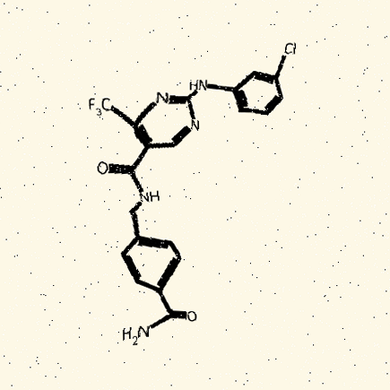 NC(=O)c1ccc(CNC(=O)c2cnc(Nc3cccc(Cl)c3)nc2C(F)(F)F)cc1